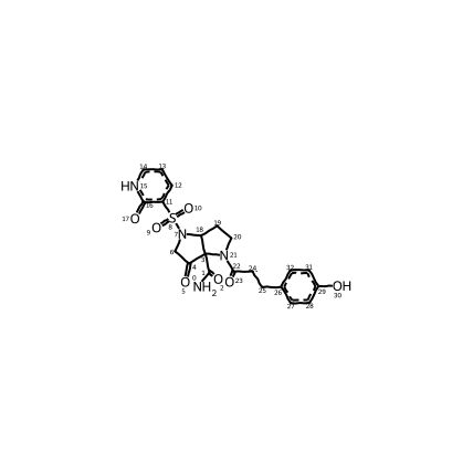 NC(=O)C12C(=O)CN(S(=O)(=O)c3ccc[nH]c3=O)C1CCN2C(=O)[CH]Cc1ccc(O)cc1